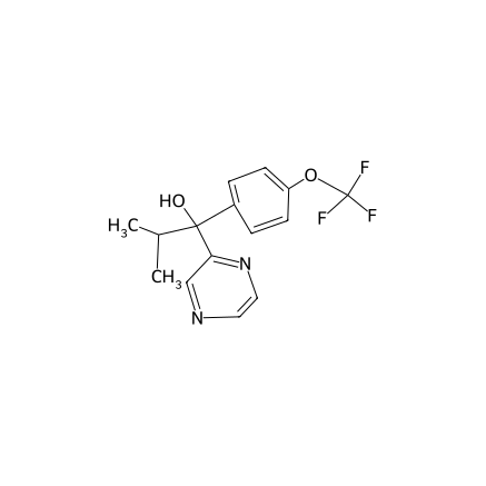 CC(C)C(O)(c1ccc(OC(F)(F)F)cc1)c1cnccn1